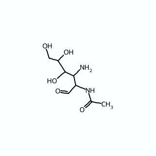 CC(=O)NC(C=O)C(N)C(O)C(O)CO